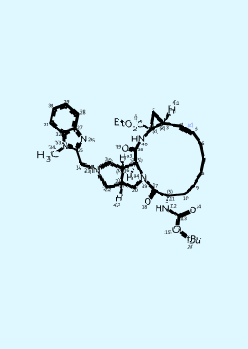 CCOC(=O)[C@@]12C[C@@H]1/C=C\CCCCC[C@H](NC(=O)OC(C)(C)C)C(=O)N1C[C@@H]3CN(Cc4nc5ccccc5n4C)C[C@@H]3[C@H]1C(=O)N2